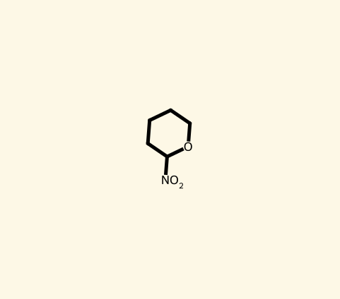 O=[N+]([O-])C1CCCCO1